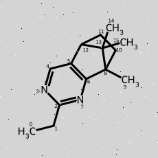 CCc1ncc2c(n1)C1(C)CCC2C1(C)C